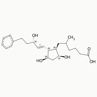 CC(CCCC(=O)O)C[C@@H]1[C@@H](/C=C/[C@@H](O)CCc2ccccc2)[C@H](O)C[C@@H]1O